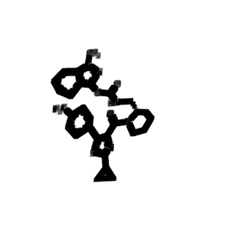 Cc1ccc(-c2sc(C3CC3)nc2C(=O)N2CCCC[C@H]2CNC(=O)Oc2nn(C)c3ccccc23)cc1